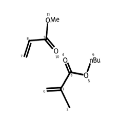 C=C(C)C(=O)OCCCC.C=CC(=O)OC